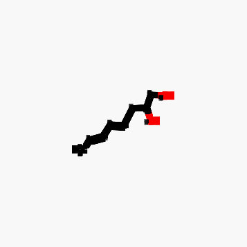 CC=CC=CCC(O)CO